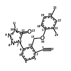 C#Cc1cccc(-n2nnn(C)c2=O)c1COc1ccc(C)cc1C